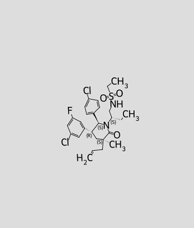 C=CC[C@@]1(C)C[C@H](c2cc(F)cc(Cl)c2)[C@@H](c2ccc(Cl)cc2)N([C@@H](CC)CNS(=O)(=O)CC)C1=O